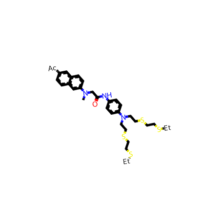 CCSCCSCCN(CCSCCSCC)c1ccc(NC(=O)CN(C)c2ccc3cc(C(C)=O)ccc3c2)cc1